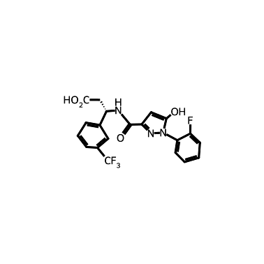 O=C(O)C[C@H](NC(=O)c1cc(O)n(-c2ccccc2F)n1)c1cccc(C(F)(F)F)c1